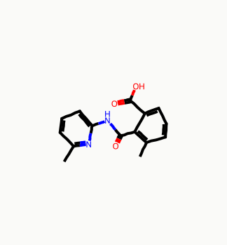 Cc1cccc(NC(=O)c2c(C)cccc2C(=O)O)n1